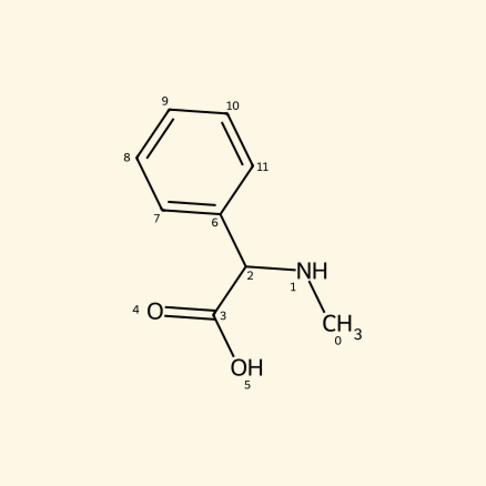 CNC(C(=O)O)c1ccccc1